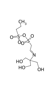 CCCS(=O)(=O)OS(=O)(=O)CC=NC(CO)(CO)CO